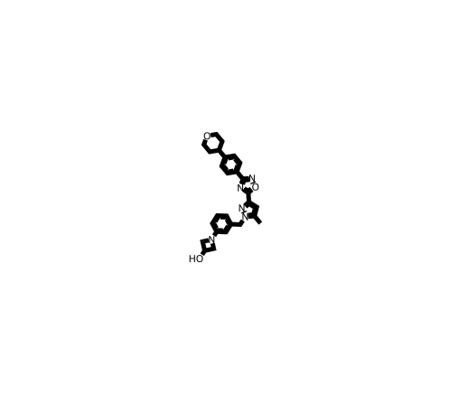 Cc1cc(-c2nc(-c3ccc(C4CCOCC4)cc3)no2)nn1Cc1cccc(N2CC(O)C2)c1